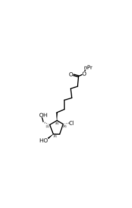 CCCOC(=O)CCCCCC[C@@H]1[C@@H](CO)[C@H](O)C[C@H]1Cl